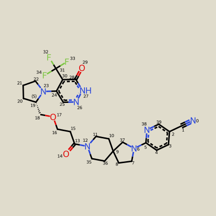 N#Cc1ccc(N2CCC3(CCN(C(=O)CCOC[C@@H]4CCCN4c4cn[nH]c(=O)c4C(F)(F)F)CC3)C2)nc1